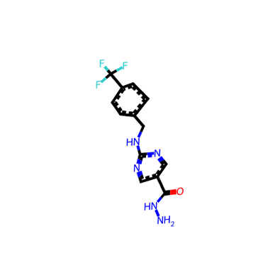 NNC(=O)c1cnc(NCc2ccc(C(F)(F)F)cc2)nc1